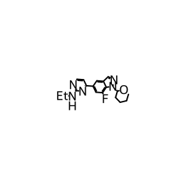 CCNc1nccc(-c2cc(F)c3c(cnn3C3CCCCO3)c2)n1